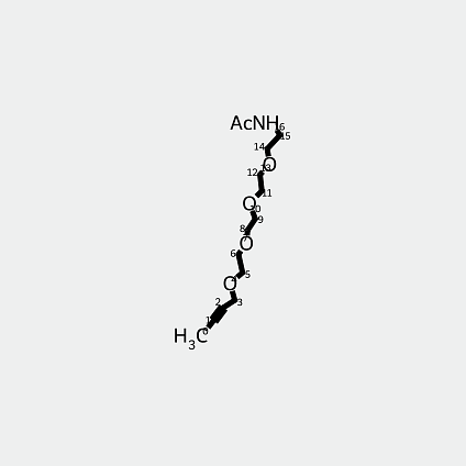 CC#CCOCCOCCOCCOCCNC(C)=O